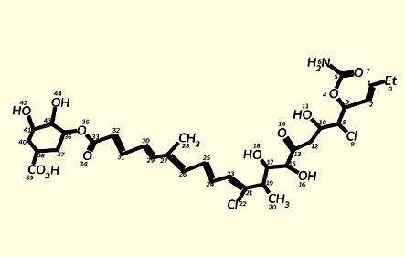 CC/C=C/C(OC(N)=O)C(Cl)C(O)CC(=O)C(O)C(O)C(C)/C(Cl)=C/C=C/C=C(C)/C=C/C=C/C(=O)OC1CC(C(=O)O)CC(O)C1O